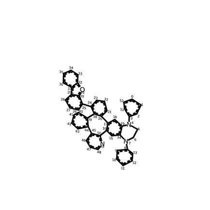 c1ccc(N2CCN(c3ccccc3)c3cc4c(cc32)-c2cccc(-c3cccc5c3oc3ccccc35)c2-c2ccccc2-c2cccnc2-4)cc1